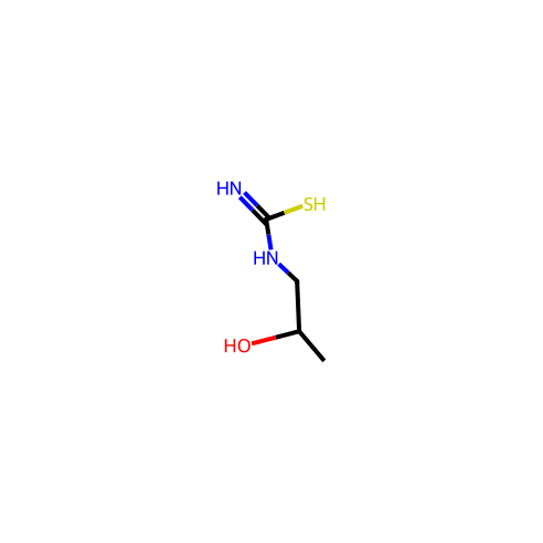 CC(O)CNC(=N)S